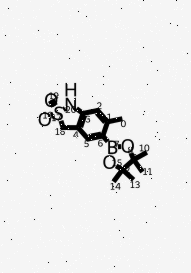 Cc1cc2c(cc1B1OC(C)(C)C(C)(C)O1)CS(=O)(=O)N2